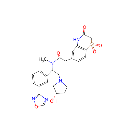 CN(C(=O)Cc1ccc2c(c1)NC(=O)CS2(=O)=O)C(CN1CC[C@H](O)C1)c1cccc(-c2ncon2)c1